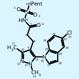 CCCCCS(=O)(=O)NC(=O)CCc1c(C)nn(C)c1-n1ccc2cc(Cl)ccc21